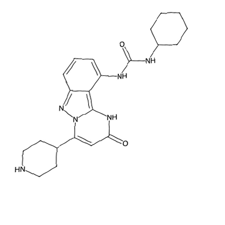 O=C(Nc1cccc2nn3c(C4CCNCC4)cc(=O)[nH]c3c12)NC1CCCCC1